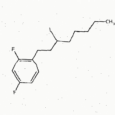 CCCCCC(I)CCc1ccc(F)cc1F